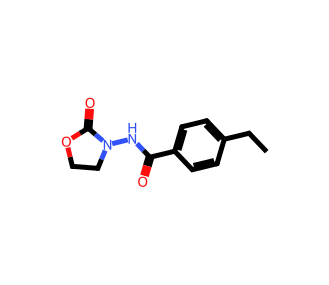 CCc1ccc(C(=O)NN2CCOC2=O)cc1